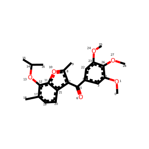 COc1cc(C(=O)c2c(C)oc3c(OC(C)C)c(C)ccc23)cc(OC)c1OC